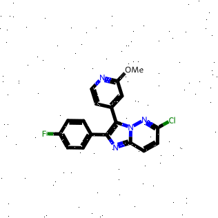 COc1cc(-c2c(-c3ccc(F)cc3)nc3ccc(Cl)nn23)ccn1